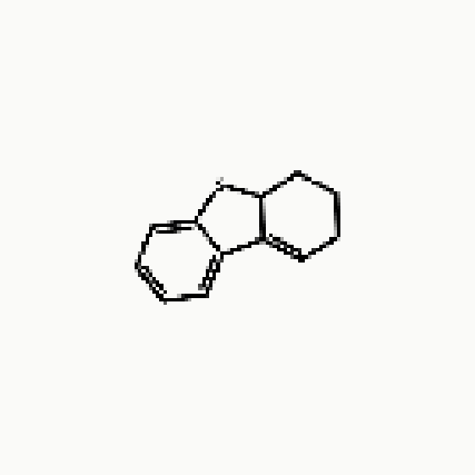 C1=C2c3ccccc3SC2CCC1